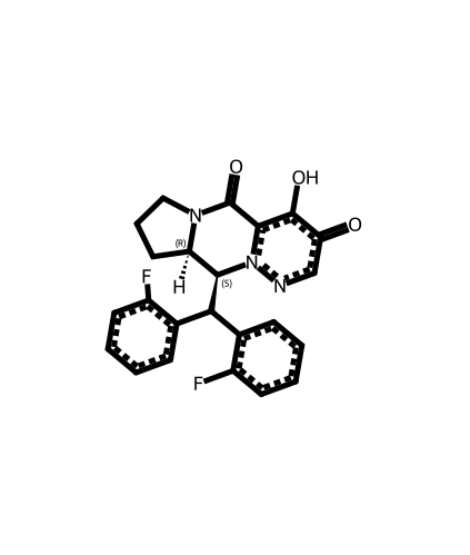 O=C1c2c(O)c(=O)cnn2[C@@H](C(c2ccccc2F)c2ccccc2F)[C@H]2CCCN12